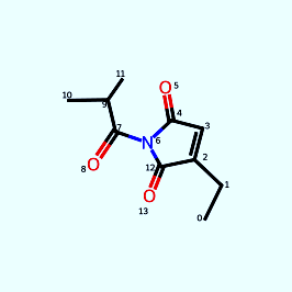 CCC1=CC(=O)N(C(=O)C(C)C)C1=O